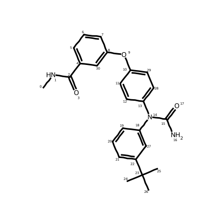 CNC(=O)c1cccc(Oc2ccc(N(C(N)=O)c3cccc(C(C)(C)C)c3)cc2)c1